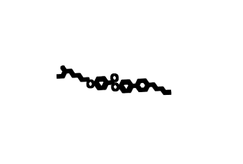 C=CCCCC1CCC(c2ccc(OC(=O)c3ccc(OCCCCCC(C)CC)cc3)cc2)CC1